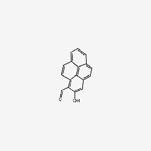 O=Cc1c(O)cc2ccc3cccc4ccc1c2c34